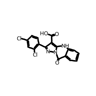 O=C(O)c1c(-c2ccc(Cl)cc2Cl)nn2c(=O)c3ccccc3[nH]c12